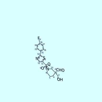 O=CC1(CO)CCCN(S(=O)(=O)c2cnc(-c3ccc(F)cc3)s2)C1